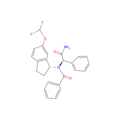 NC(=O)[C@@H](c1ccccc1)N(C(=O)c1ccccc1)[C@@H]1CCc2ccc(OC(F)F)cc21